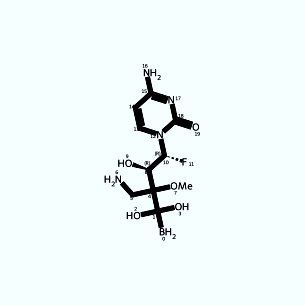 BC(O)(O)C(CN)(OC)[C@@H](O)[C@@H](F)n1ccc(N)nc1=O